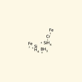 B.[Cr].[Fe].[Fe].[SiH4].[SiH4]